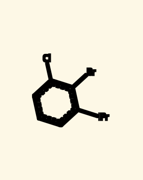 [CH2]C(C)c1cccc(Cl)c1Br